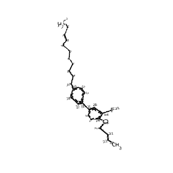 CCCCCCCCCCCc1ccc(-c2ccc(OCCCC)c(F)c2)cc1